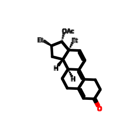 CC[C@@H]1C[C@H]2[C@@H]3CCC4=CC(=O)CCC4=C3C=C[C@]2(CC)[C@H]1OC(C)=O